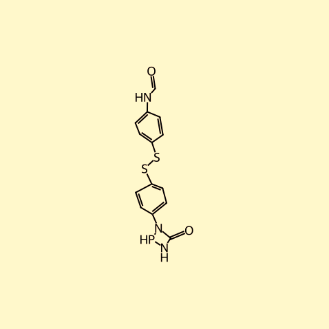 O=CNc1ccc(SSc2ccc(-n3[pH][nH]c3=O)cc2)cc1